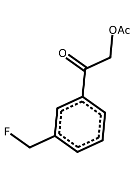 CC(=O)OCC(=O)c1cccc(CF)c1